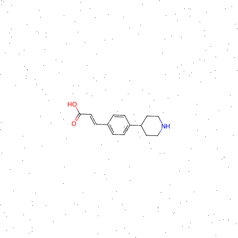 O=C(O)C=Cc1ccc(C2CCNCC2)cc1